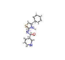 Cn1c(-c2ccccc2)cs/c1=N/C(=O)c1cccnc1